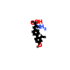 CCc1cc(OC)ccc1-c1ccc(CC(N)C(=O)O)cc1